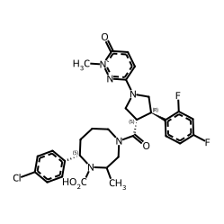 CC1CN(C(=O)[C@@H]2CN(c3ccc(=O)n(C)n3)C[C@H]2c2ccc(F)cc2F)CCC[C@@H](c2ccc(Cl)cc2)N1C(=O)O